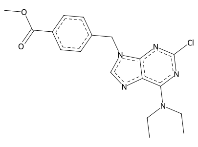 CCN(CC)c1nc(Cl)nc2c1ncn2Cc1ccc(C(=O)OC)cc1